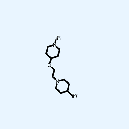 CC(C)C1CCN(CCOC2CCN(C(C)C)CC2)CC1